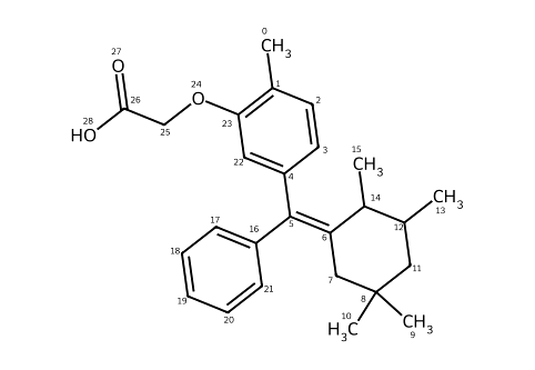 Cc1ccc(C(=C2CC(C)(C)CC(C)C2C)c2ccccc2)cc1OCC(=O)O